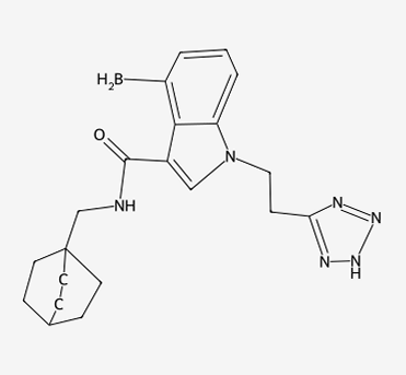 Bc1cccc2c1c(C(=O)NCC13CCC(CC1)CC3)cn2CCc1nn[nH]n1